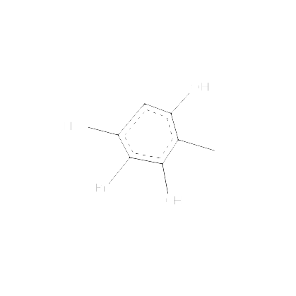 Cc1[c]c(O)c(F)c(C)c1Br